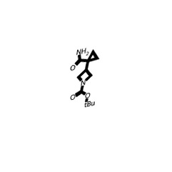 CC(C)(C)OC(=O)N1CC(C2(C(N)=O)CC2)C1